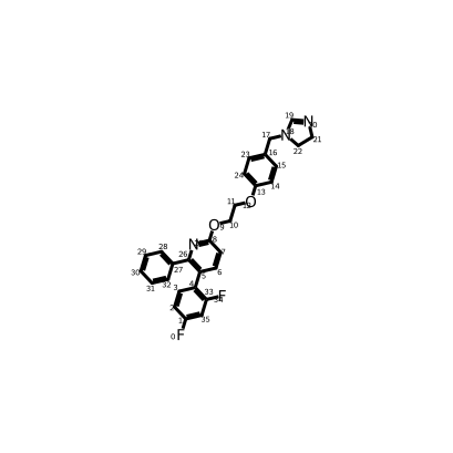 Fc1ccc(-c2ccc(OCCOc3ccc(CN4C=NCC4)cc3)nc2-c2ccccc2)c(F)c1